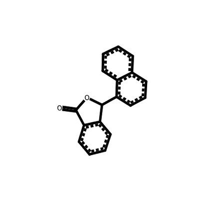 O=C1OC(c2cccc3ccccc23)c2ccccc21